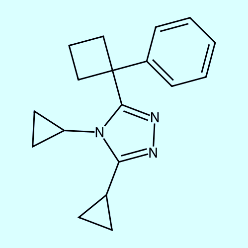 c1ccc(C2(c3nnc(C4CC4)n3C3CC3)CCC2)cc1